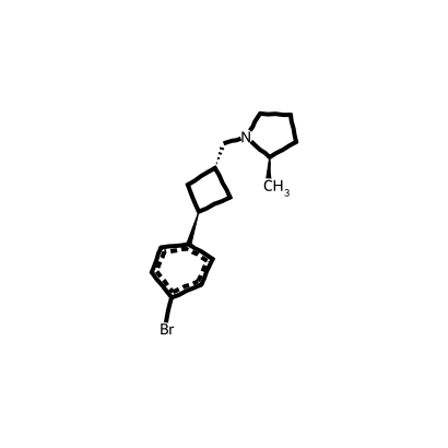 C[C@@H]1CCCN1C[C@H]1C[C@H](c2ccc(Br)cc2)C1